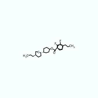 CCCc1ccc(C(=O)OC2CCC([C@H]3CC[C@H](CCC)CC3)CC2)c(F)c1F